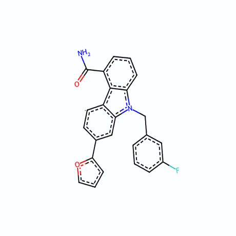 NC(=O)c1cccc2c1c1[c]cc(-c3ccco3)cc1n2Cc1cccc(F)c1